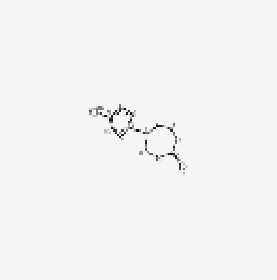 O=C1CCCC(c2ccc(Cl)cc2)CC1